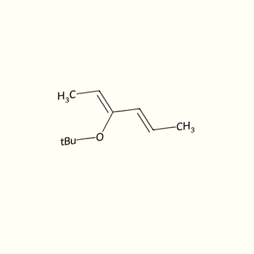 C/C=C(/C=C/C)OC(C)(C)C